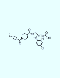 COC1CC(C(=O)N2CCC(C(=O)N3C[C@H](CNC(=O)O)[C@H](c4ccc(Cl)cc4)C3)CC2)C1